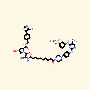 Cc1cnc(Nc2ccc(N3CCN(C(=O)CCCCCCCCC(=O)N[C@H](C(=O)N4C[C@H](O)C[C@H]4C(=O)NCc4ccc(-c5scnc5C)cc4)C(C)(C)C)CC3)cc2)nc1Nc1cccc(S(=O)(=O)NC(C)(C)C)c1